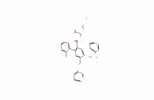 CSCC[C@H](NC(=O)c1ccc(COc2cccnc2)cc1-c1ccccc1C)C(=O)O.NS(=O)(=O)c1ccccc1